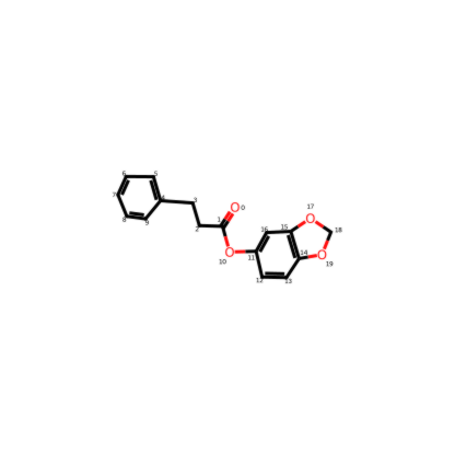 O=C(CCc1ccccc1)Oc1ccc2c(c1)OCO2